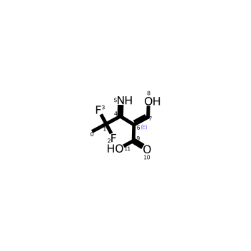 CC(F)(F)C(=N)/C(=C\O)C(=O)O